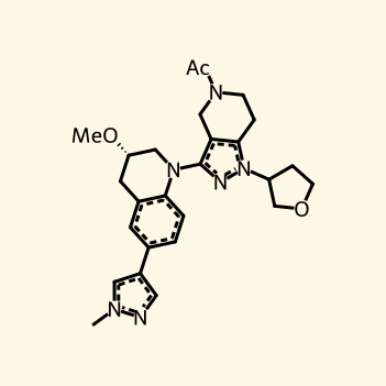 CO[C@H]1Cc2cc(-c3cnn(C)c3)ccc2N(c2nn(C3CCOC3)c3c2CN(C(C)=O)CC3)C1